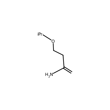 C=C(N)CCOC(C)C